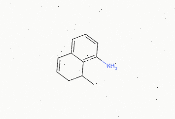 CC1CC=Cc2cccc(N)c21